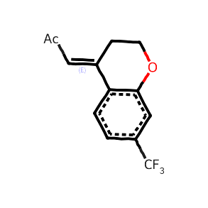 CC(=O)/C=C1\CCOc2cc(C(F)(F)F)ccc21